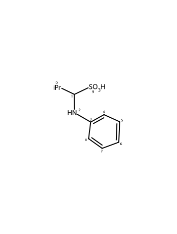 CC(C)C(Nc1ccccc1)S(=O)(=O)O